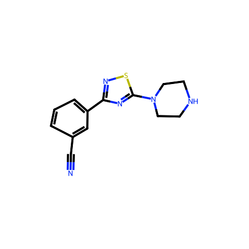 N#Cc1cccc(-c2nsc(N3CCNCC3)n2)c1